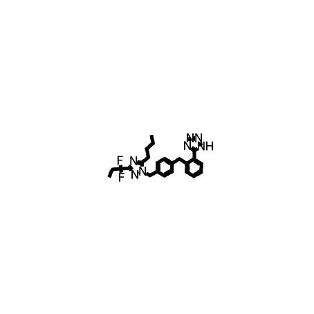 CCCCc1nc(C(F)(F)CC)nn1Cc1ccc(Cc2ccccc2-c2nnn[nH]2)cc1